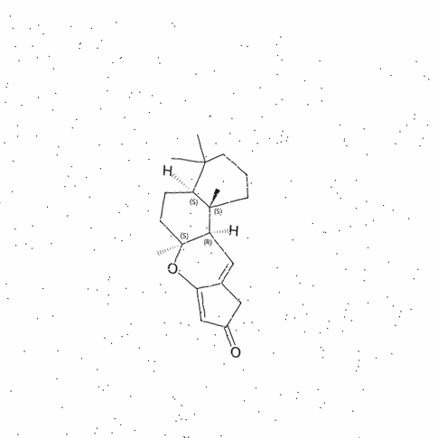 CC1(C)CCC[C@]2(C)[C@H]3C=C4CC(=O)C=C4O[C@@]3(C)CC[C@@H]12